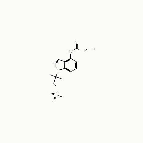 CC(C)(C)OC(=O)Nc1cccc2c1cnn2C(C)(C)COS(C)(=O)=O